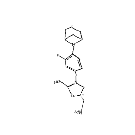 CC(=O)NC[C@H]1CN(c2ccc(N3C4CSCC3C4)c(F)c2)C(O)O1